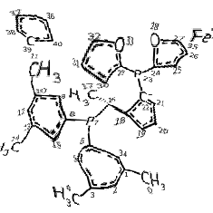 Cc1cc(C)cc(P(c2cc(C)cc(C)c2)[C@H](C)c2ccc[c-]2P(c2ccco2)c2ccco2)c1.[Fe+2].c1cc[cH-]c1